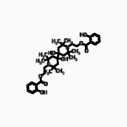 CC1(C)CC(O)(C2(O)CC(C)(C)N(CCOC(=O)c3ccccc3O)C(C)(C)C2)CC(C)(C)N1CCOC(=O)c1ccccc1O